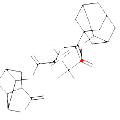 O=C(COC(=O)C12CC3CC(C1)C(OC(=O)C(F)(F)S(=O)(=O)O)C(C3)C2)OC1C2CC3C(=O)OC1C3C2